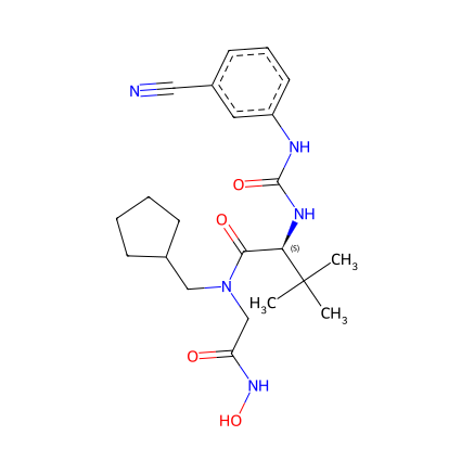 CC(C)(C)[C@H](NC(=O)Nc1cccc(C#N)c1)C(=O)N(CC(=O)NO)CC1CCCC1